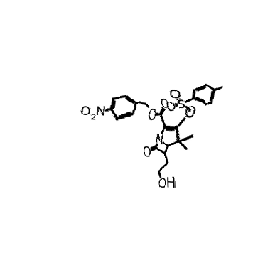 Cc1ccc(S(=O)(=O)OC2=C(C(=O)OCc3ccc([N+](=O)[O-])cc3)N3C(=O)C(CCO)C3C2(C)C)cc1